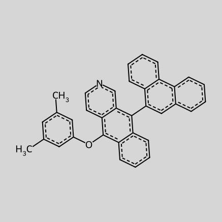 Cc1cc(C)cc(Oc2c3ccccc3c(-c3cc4ccccc4c4ccccc34)c3cnccc23)c1